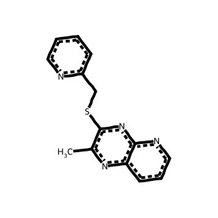 Cc1nc2cccnc2nc1SCc1ccccn1